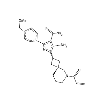 C=CC(=O)N1CCC[C@]2(C1)C[C@H](n1nc(-c3ccc(COC)cc3)c(C(N)=O)c1N)C2